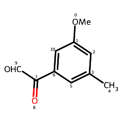 COc1cc(C)cc(C(=O)C=O)c1